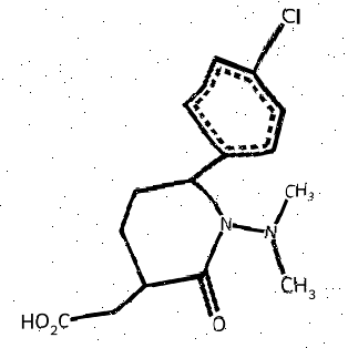 CN(C)N1C(=O)C(CC(=O)O)CCC1c1ccc(Cl)cc1